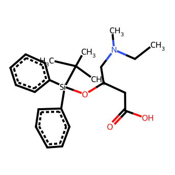 CCN(C)CC(CC(=O)O)O[Si](c1ccccc1)(c1ccccc1)C(C)(C)C